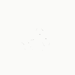 O=C1NC[C@H]2C[C@@H](c3ccc(Cl)cc3Cl)C(c3ccc(Cl)cc3)=C[C@@H]12